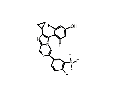 Oc1cc(F)c(-c2c(C3CC3)nc3cnc(-c4ccc(F)c(S(F)(F)F)c4)cn23)c(F)c1